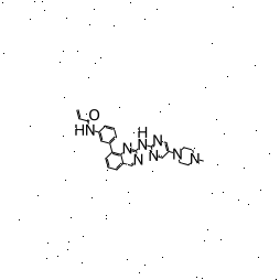 C=CC(=O)Nc1cccc(-c2cccc3cnc(Nc4ncc(N5CCN(C)CC5)cn4)nc23)c1